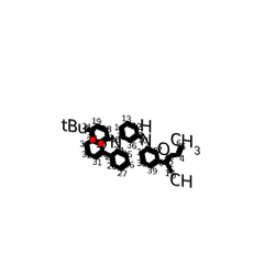 C#Cc1c(/C=C\C)oc2c(Nc3cccc(N(c4ccc(C(C)(C)C)cc4)c4ccccc4-c4ccccc4)c3)cccc12